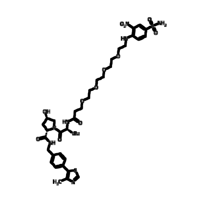 Cc1ncsc1-c1ccc(CNC(=O)[C@@H]2C[C@@H](O)CN2C(=O)[C@@H](NC(=O)CCOCCOCCOCCOCCNc2ccc(S(N)(=O)=O)cc2[N+](=O)[O-])C(C)(C)C)cc1